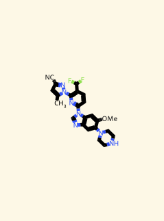 COc1cc2c(cc1N1CCNCC1)ncn2-c1ccc(C(F)F)c(-n2nc(C#N)cc2C)n1